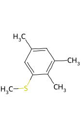 CSc1cc(C)cc(C)c1C